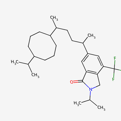 CC(CCC(C)C1CCCC(C(C)C)CCC1)c1cc2c(c(C(F)(F)F)c1)CN(C(C)C)C2=O